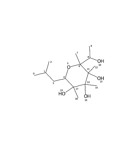 CC(C)CC1OC(C)(C(C)O)C(C)(O)C(C)(O)C1(C)O